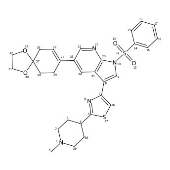 CN1CCC(c2nc(-c3cn(S(=O)(=O)c4ccccc4)c4ncc(C5=CCC6(CC5)OCCO6)cc34)cs2)CC1